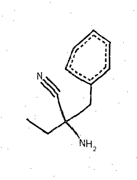 CCC(N)(C#N)Cc1ccccc1